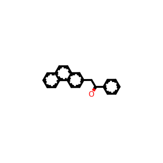 O=C(Cc1ccc2c(ccc3ccccc32)c1)c1ccccc1